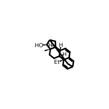 CC[C@]12C=CC3C=C1C=C[C@H]1[C@@H]4CC(C3)[C@H](O)[C@@]4(C)CC[C@@H]12